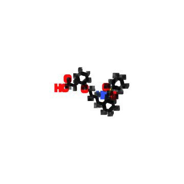 O=C(O)Cc1ccccc1OCCCCc1ccccc1NS(=O)(=O)c1ccccc1